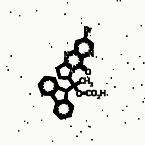 CC(OC(=O)O)(C1c2ccccc2-c2ccccc21)C1CCc2nc3cc(Br)cnc3c(=O)n21